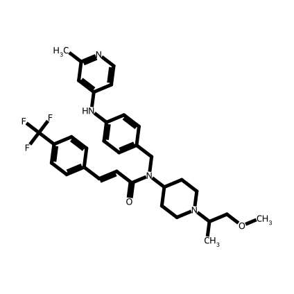 COCC(C)N1CCC(N(Cc2ccc(Nc3ccnc(C)c3)cc2)C(=O)C=Cc2ccc(C(F)(F)F)cc2)CC1